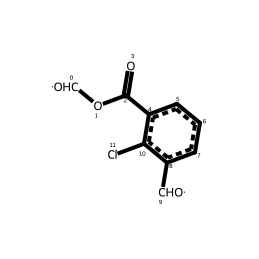 O=[C]OC(=O)c1cccc([C]=O)c1Cl